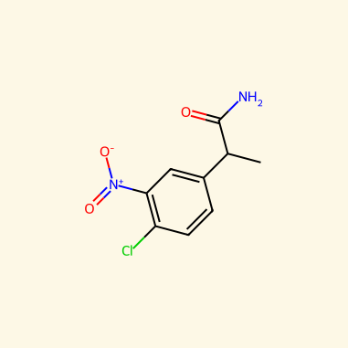 CC(C(N)=O)c1ccc(Cl)c([N+](=O)[O-])c1